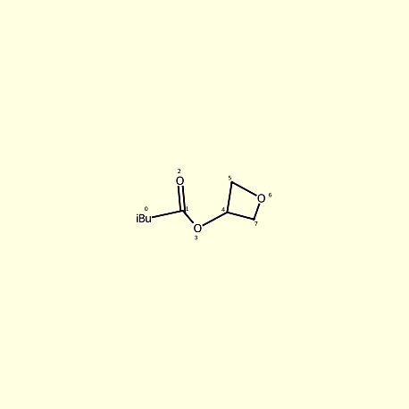 [CH2]C(CC)C(=O)OC1COC1